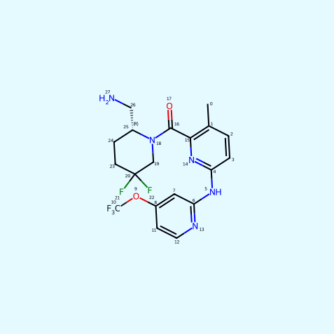 Cc1ccc(Nc2cc(OC(F)(F)F)ccn2)nc1C(=O)N1CC(F)(F)CC[C@@H]1CN